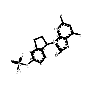 CCc1nc2c(C)cc(C)nc2n1C1CCc2cc(OS(=O)(=O)C(F)(F)F)ccc21